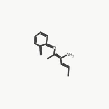 C=C1C=CC=C/C1=N/C(C)=C(N)/C=C/C